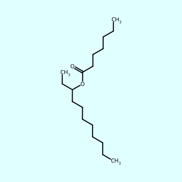 CCCCCCCCC(CC)OC(=O)CCCCCC